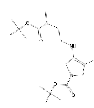 CC1=C(NCCN(C)C(=O)OC(C)(C)C)CN(C(=O)OC(C)(C)C)C1